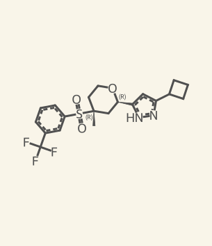 C[C@@]1(S(=O)(=O)c2cccc(C(F)(F)F)c2)CCO[C@@H](c2cc(C3CCC3)n[nH]2)C1